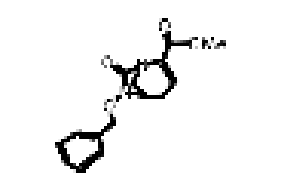 COC(=O)C1=CCC2CN1C(=O)N2OCc1ccccc1